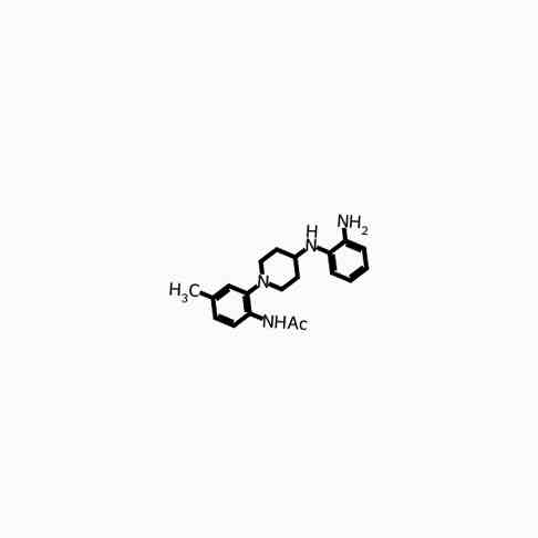 CC(=O)Nc1ccc(C)cc1N1CCC(Nc2ccccc2N)CC1